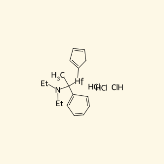 CCN(CC)[C](C)([Hf][C]1=CC=CC1)c1ccccc1.Cl.Cl.Cl